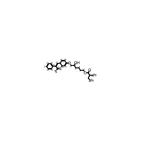 CC(C)CC(C(=O)OCCCCC(O)COC1=CC2SC(=S)C(c3ccccc3)=CC2C=C1)C(C)C